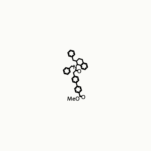 COC(=O)c1ccc(-c2ccc(CC(=O)N(Cc3ccccc3)C3c4ccccc4CCC3Cc3ccccc3)cc2)cc1